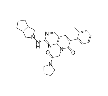 Cc1ccccc1-c1cc2cnc(NN3CC4CCCC4C3)nc2n(CC(=O)N2CCCC2)c1=O